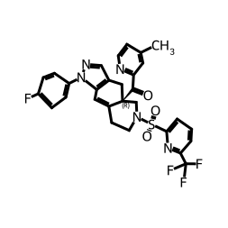 Cc1ccnc(C(=O)[C@]23Cc4cnn(-c5ccc(F)cc5)c4C=C2CCN(S(=O)(=O)c2cccc(C(F)(F)F)n2)C3)c1